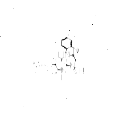 COC(=O)[C@@H](NC(=O)N(C)Cc1nc2ccccc2[nH]1)C(C)C